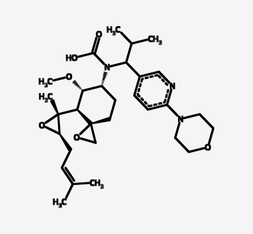 CO[C@@H]1[C@H](N(C(=O)O)C(c2ccc(N3CCOCC3)nc2)C(C)C)CC[C@]2(CO2)[C@H]1[C@@]1(C)O[C@@H]1CC=C(C)C